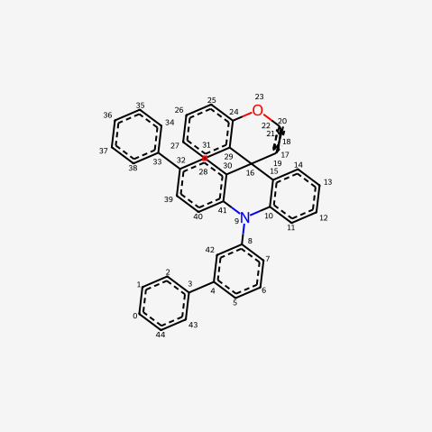 c1ccc(-c2cccc(N3c4ccccc4C4(c5ccccc5Oc5ccccc54)c4cc(-c5ccccc5)ccc43)c2)cc1